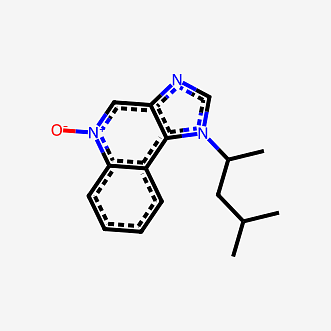 CC(C)CC(C)n1cnc2c[n+]([O-])c3ccccc3c21